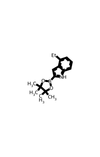 CCc1cccc2[nH]c(B3OC(C)(C)C(C)(C)O3)cc12